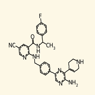 CC(NC(=O)c1cc(C#N)cnc1NCc1ccc(-c2cnc(N)c(C3=CCNCC3)n2)cc1)c1ccc(F)cc1